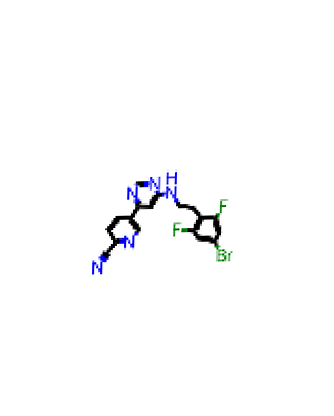 N#Cc1ccc(-c2cc(NCCc3c(F)cc(Br)cc3F)ncn2)cn1